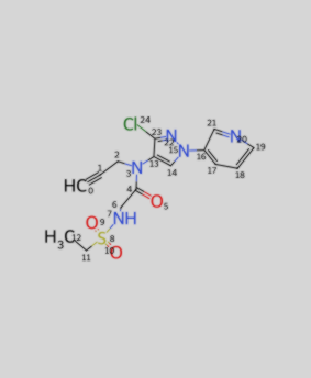 C#CCN(C(=O)CNS(=O)(=O)CC)c1cn(-c2cccnc2)nc1Cl